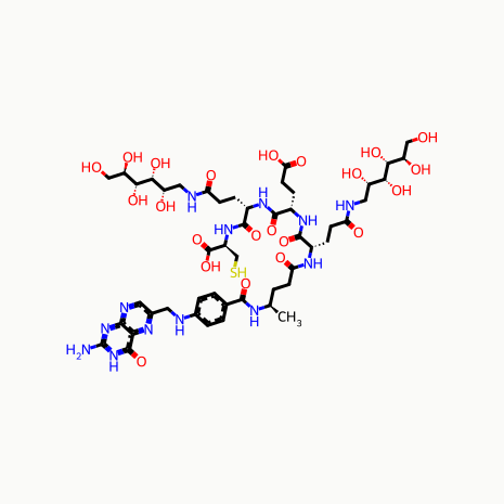 C[C@H](CCC(=O)N[C@@H](CCC(=O)NC[C@H](O)[C@@H](O)[C@H](O)[C@H](O)CO)C(=O)N[C@@H](CCC(=O)O)C(=O)N[C@@H](CCC(=O)NC[C@H](O)[C@@H](O)[C@H](O)[C@H](O)CO)C(=O)N[C@@H](CS)C(=O)O)NC(=O)c1ccc(NCc2cnc3nc(N)[nH]c(=O)c3n2)cc1